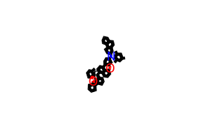 Cc1cc(C)c(N(c2ccc3c(c2)Oc2cccc4c(B(c5c(C)cccc5C)c5cccc6c5oc5ccccc56)ccc-3c24)c2ccc3c(ccc4ccccc43)c2)c(C)c1